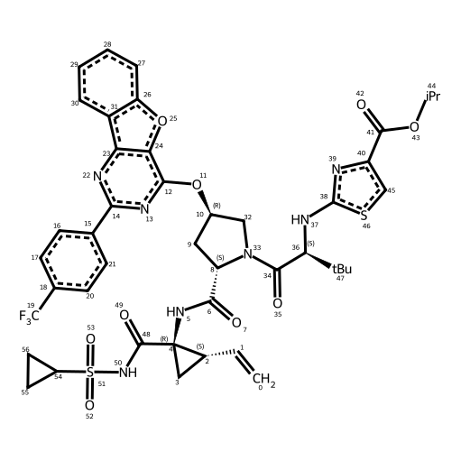 C=C[C@@H]1C[C@]1(NC(=O)[C@@H]1C[C@@H](Oc2nc(-c3ccc(C(F)(F)F)cc3)nc3c2oc2ccccc23)CN1C(=O)[C@@H](Nc1nc(C(=O)OC(C)C)cs1)C(C)(C)C)C(=O)NS(=O)(=O)C1CC1